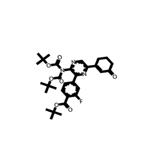 CC(C)(C)OC(=O)c1ccc(-c2nc(C3=CC(=O)CCC3)cnc2N(C(=O)OC(C)(C)C)C(=O)OC(C)(C)C)cc1F